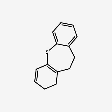 C1=CC2=C(CC1)CCc1ccccc1S2